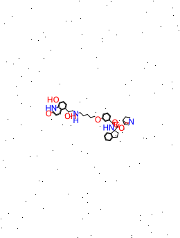 O=C(N[C@]1(C(=O)OC2CN3CCC2CC3)CCc2ccccc21)c1cccc(OCCCCCNCC(O)c2ccc(O)c3[nH]c(=O)ccc23)c1